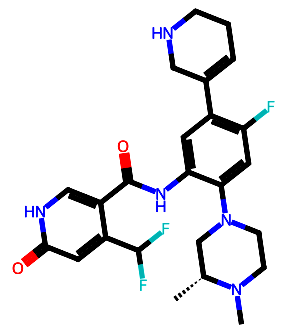 C[C@@H]1CN(c2cc(F)c(C3=CCCNC3)cc2NC(=O)c2c[nH]c(=O)cc2C(F)F)CCN1C